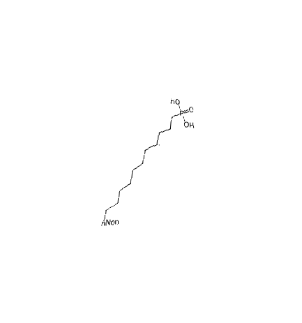 CCCCCCCCCCCCCCCC[CH]CCCP(=O)(O)O